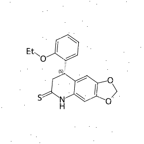 CCOc1ccccc1[C@H]1CC(=S)Nc2cc3c(cc21)OCO3